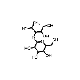 CC(O)C(OC1OC(CO)C(O)C(O)C1O)C(O)CO